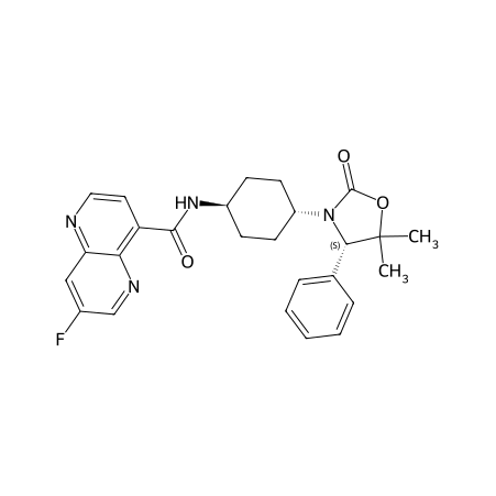 CC1(C)OC(=O)N([C@H]2CC[C@H](NC(=O)c3ccnc4cc(F)cnc34)CC2)[C@H]1c1ccccc1